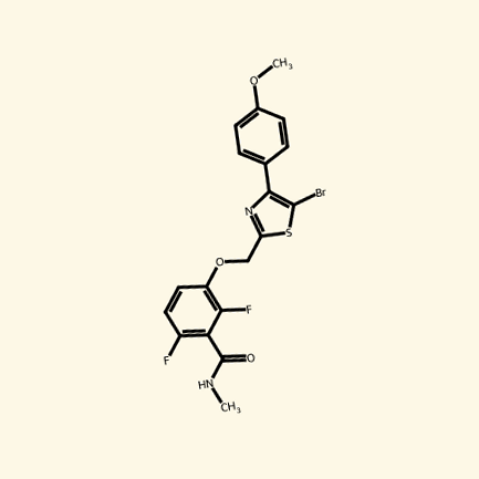 CNC(=O)c1c(F)ccc(OCc2nc(-c3ccc(OC)cc3)c(Br)s2)c1F